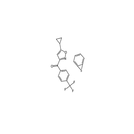 O=C(c1ccc(C(F)(F)F)cc1)c1cc(C2CC2)on1.c1ccc2c(c1)S2